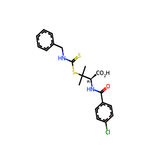 CC(C)(SC(=S)NCc1ccccc1)[C@H](NC(=O)c1ccc(Cl)cc1)C(=O)O